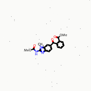 COC(=O)Nc1nc2ccc(C(=O)c3ccccc3C(=O)OC)cc2n1C